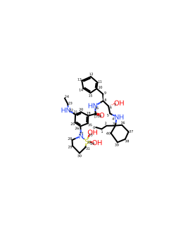 CCCC1(NC[C@@H](O)[C@H](Cc2ccccc2)NC(=O)c2cc(NCC)cc(N3CCCCS3(O)O)c2)CCCCC1